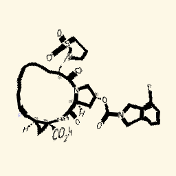 O=C1N[C@]2(C(=O)O)C[C@H]2/C=C\CCCCC[C@H](N2CCCS2(=O)=O)C(=O)N2C[C@H](OC(=O)N3Cc4cccc(F)c4C3)C[C@@H]12